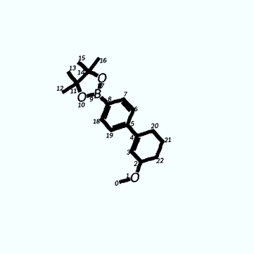 COC1C=C(c2ccc(B3OC(C)(C)C(C)(C)O3)cc2)CCC1